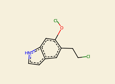 ClCCc1cc2cc[nH]c2cc1OCl